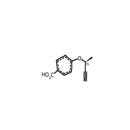 C#C[C@H](C)Oc1ccc(C(=O)O)cc1